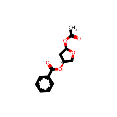 CC(=O)OC1C[C@H](OC(=O)c2ccccc2)CO1